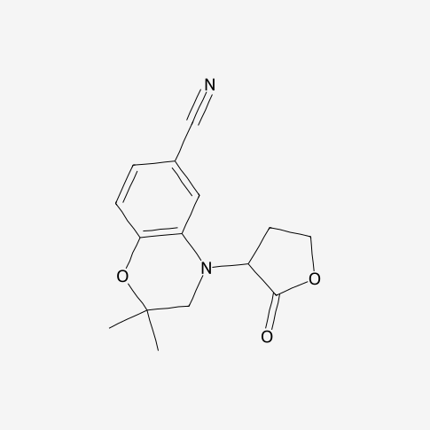 CC1(C)CN(C2CCOC2=O)c2cc(C#N)ccc2O1